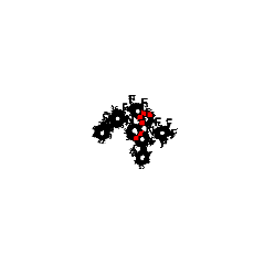 Fc1c(F)c(F)c(N(c2ccc3sc4ccccc4c3c2)c2ccccc2C2=CC=CCC2N(c2ccc3sc4ccccc4c3c2)c2c(F)c(F)c(F)c(F)c2F)c(F)c1F